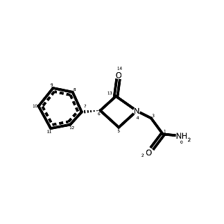 NC(=O)CN1C[C@H](c2ccccc2)C1=O